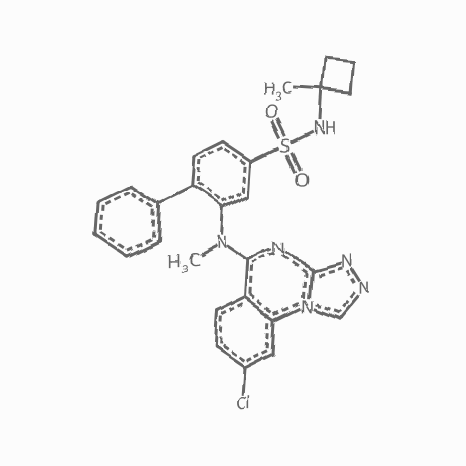 CN(c1cc(S(=O)(=O)NC2(C)CCC2)ccc1-c1ccccc1)c1nc2nncn2c2cc(Cl)ccc12